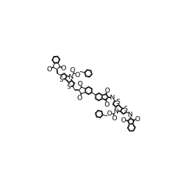 O=C1C(=Cc2cc3c(s2)c2sc(/C=C4\C(=O)c5ccc(-c6ccc7c(=O)/c(=N\c8cc9c(s8)c8sc(N=c%10c(=O)c%11ccccc%11c%10=O)cc8n9C(=O)OCc8ccccc8)c(=O)c7c6)cc5C4=O)cc2n3C(=O)OCc2ccccc2)C(=O)c2ccccc21